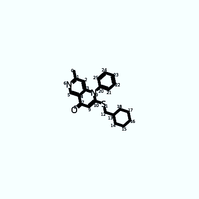 Cc1cc2c(cn1)c(=O)cc(SCC1CCCCC1)n2-c1ccccc1